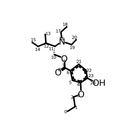 CCCOc1cc(C(=O)OC[C@H](C(C)CC)N(CC)CC)ccc1O